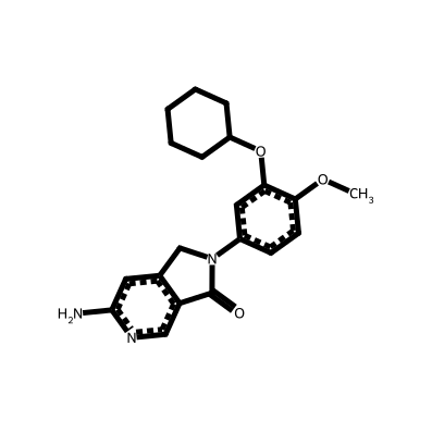 COc1ccc(N2Cc3cc(N)ncc3C2=O)cc1OC1CCCCC1